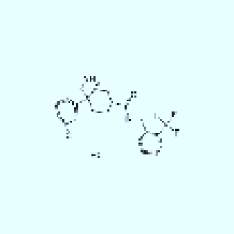 Cl.NCC1(c2cccc(Cl)c2)CCC(C(=O)NCc2ccccc2C(F)(F)F)CC1